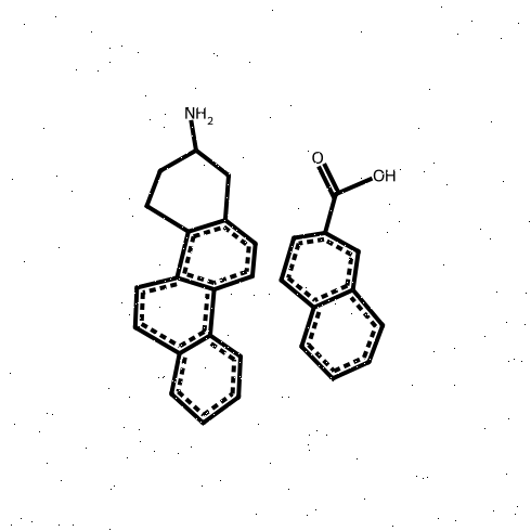 NC1CCc2c(ccc3c2ccc2ccccc23)C1.O=C(O)c1ccc2ccccc2c1